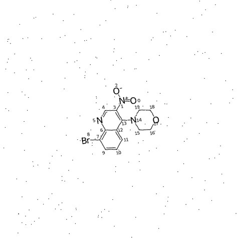 O=[N+]([O-])c1cnc2c(Br)cccc2c1N1CCOCC1